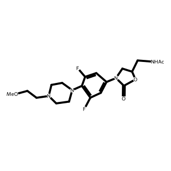 COCCN1CCN(c2c(F)cc(N3CC(CNC(C)=O)OC3=O)cc2F)CC1